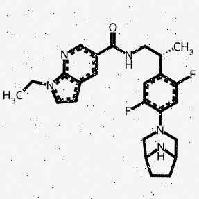 CCn1ccc2cc(C(=O)NC[C@H](C)c3cc(F)c(N4CC5CCC(C4)N5)cc3F)cnc21